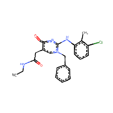 Cc1c(Cl)cccc1Nc1nc(=O)c(CC(=O)NCC#N)cn1Cc1ccccc1